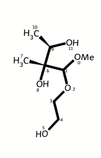 COC(OCCO)[C@](C)(O)[C@@H](C)O